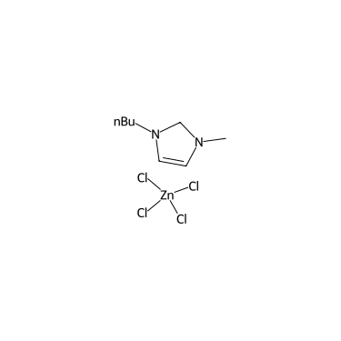 CCCCN1C=CN(C)C1.[Cl][Zn]([Cl])([Cl])[Cl]